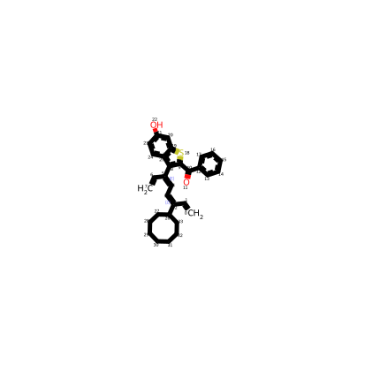 C=C/C(=C\C=C(/C=C)c1c(C(=O)c2ccccc2)sc2cc(O)ccc12)C1CCCCCCC1